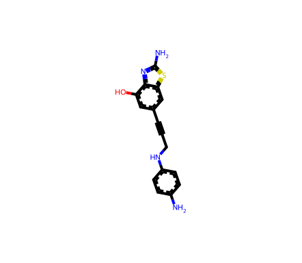 Nc1ccc(NCC#Cc2cc(O)c3nc(N)sc3c2)cc1